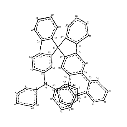 c1ccc(N(c2ccccc2)c2ccc3c(c2)C2(c4ccccc4-3)c3ccccc3-c3cc4c5ccccc5c5ccccc5c4cc32)cc1